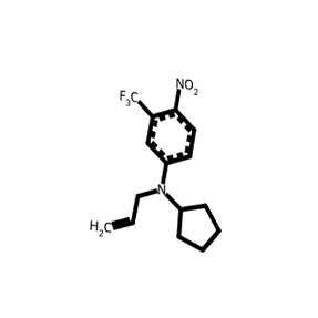 C=CCN(c1ccc([N+](=O)[O-])c(C(F)(F)F)c1)C1CCCC1